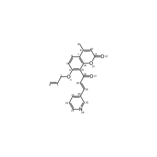 C=CCOc1ccc2c(C)cc(=O)oc2c1C(=O)C=Cc1cccnc1